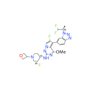 COc1nc(N[C@H]2CCN(C3COC3)C[C@H]2F)nn2cc(F)c(-c3ccc4nnn([C@H](C)C(F)F)c4c3)c12